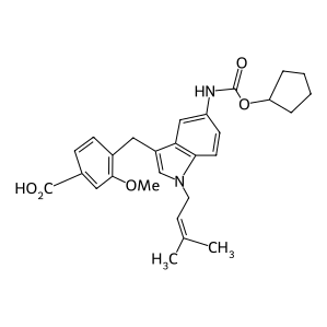 COc1cc(C(=O)O)ccc1Cc1cn(CC=C(C)C)c2ccc(NC(=O)OC3CCCC3)cc12